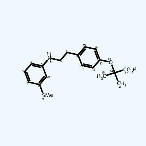 CSc1cccc(NCCc2ccc(OC(C)(C)C(=O)O)cc2)c1